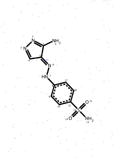 NC1=NN=C/C1=N\Nc1ccc(S(N)(=O)=O)cc1